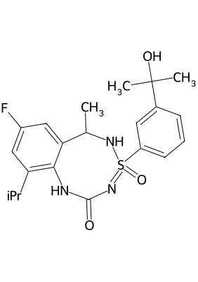 CC(C)c1cc(F)cc2c1NC(=O)N=S(=O)(c1cccc(C(C)(C)O)c1)NC2C